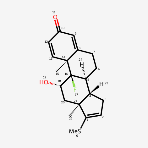 CSC1=CC[C@H]2[C@@H]3CCC4=CC(=O)C=C[C@]4(C)[C@@]3(F)[C@@H](O)C[C@]12C